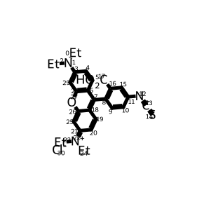 CCN(CC)c1ccc2c(-c3ccc(N=C=S)cc3C(=O)O)c3ccc(=[N+](CC)CC)cc-3oc2c1.[Cl-]